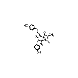 C[C@H](C(=O)N(C)C)N(CCCc1ccc(O)cc1)C(=O)C(N)Cc1ccc(O)cc1